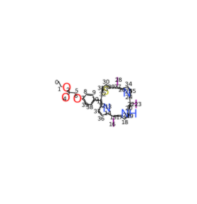 CCOC(=O)COc1ccc(-c2c3nc(c(I)c4ccc([nH]4)c(I)c4nc(c(I)c5ccc2s5)C=C4)C=C3)cc1